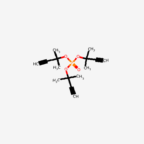 C#CC(C)(C)OP(=O)(OC(C)(C)C#C)OC(C)(C)C#C